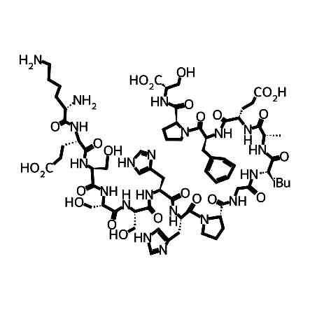 CC[C@H](C)[C@H](NC(=O)CNC(=O)[C@@H]1CCCN1C(=O)[C@H](Cc1c[nH]cn1)NC(=O)[C@H](Cc1c[nH]cn1)NC(=O)[C@H](CO)NC(=O)[C@H](CO)NC(=O)[C@H](CO)NC(=O)[C@H](CCC(=O)O)NC(=O)[C@@H](N)CCCCN)C(=O)N[C@@H](C)C(=O)N[C@@H](CCC(=O)O)C(=O)N[C@@H](Cc1ccccc1)C(=O)N1CCC[C@H]1C(=O)N[C@@H](CO)C(=O)O